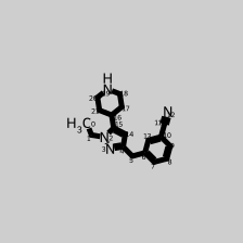 CCn1nc(Cc2cccc(C#N)c2)cc1C1CCNCC1